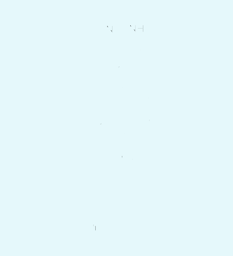 CC(C)CCCOc1ccc(-c2cn[nH]c2)cc1